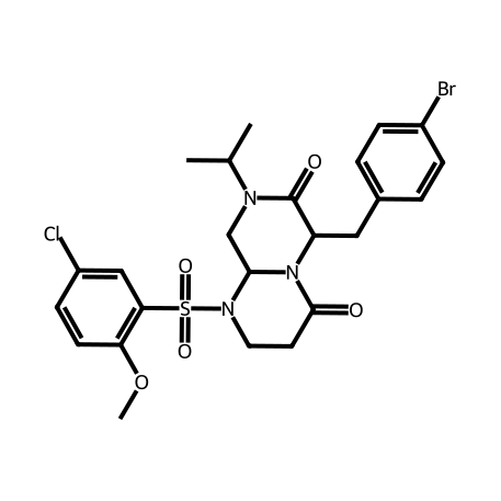 COc1ccc(Cl)cc1S(=O)(=O)N1CCC(=O)N2C(Cc3ccc(Br)cc3)C(=O)N(C(C)C)CC21